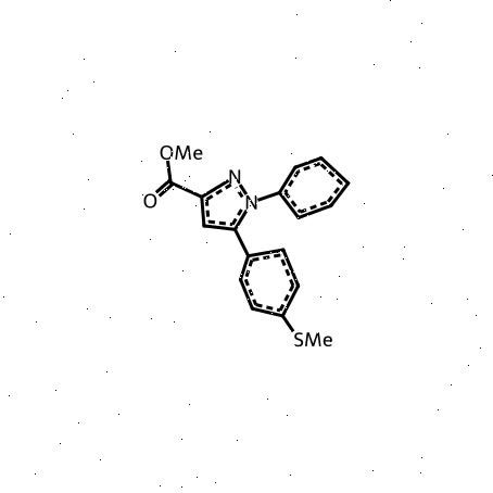 COC(=O)c1cc(-c2ccc(SC)cc2)n(-c2ccccc2)n1